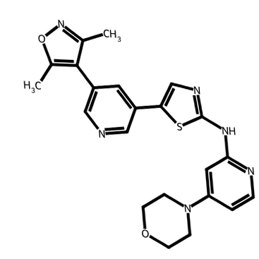 Cc1noc(C)c1-c1cncc(-c2cnc(Nc3cc(N4CCOCC4)ccn3)s2)c1